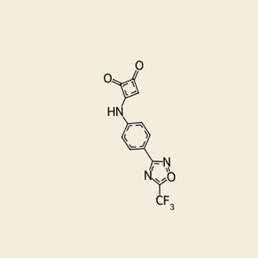 O=c1cc(Nc2ccc(-c3noc(C(F)(F)F)n3)cc2)c1=O